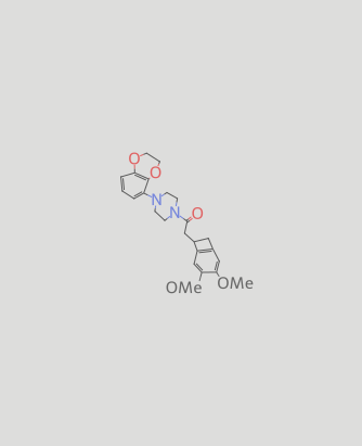 COc1cc2c(cc1OC)C(CC(=O)N1CCN(c3cccc4c3OCCO4)CC1)C2